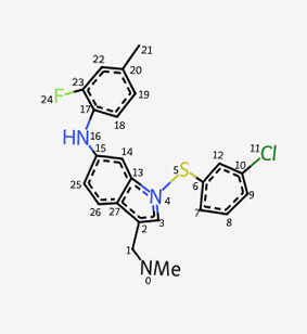 CNCc1cn(Sc2cccc(Cl)c2)c2cc(Nc3ccc(C)cc3F)ccc12